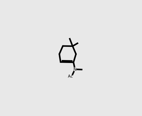 CC(=O)N(C)C1=CCCC(C)(C)C1